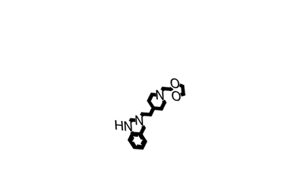 c1ccc2c(c1)CN(CCC1CCN(CC3OCCO3)CC1)CN2